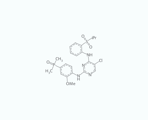 COc1cc(P(C)(C)=O)ccc1Nc1ncc(Cl)c(Nc2ccccc2S(=O)(=O)C(C)C)n1